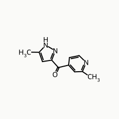 Cc1cc(C(=O)c2cc(C)[nH]n2)ccn1